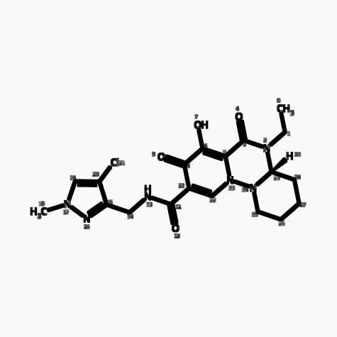 CCN1C(=O)c2c(O)c(=O)c(C(=O)NCc3nn(C)cc3Cl)cn2N2CCCC[C@@H]12